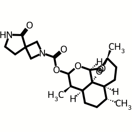 C[C@@H]1CC[C@H]2[C@@H](C)C(OC(=O)N3CC4(CCNC4=O)C3)O[C@H]3O[C@@]4(C)CC[C@@H]1[C@]32OO4